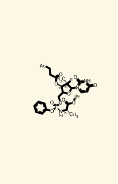 CC(=O)CCC(=O)O[C@@H]1C(CO[P@](=O)(N[C@@H](C)C(=O)OC(C)C)Oc2ccccc2)OC(n2ccc(=O)[nH]c2=O)[C@]1(C)F